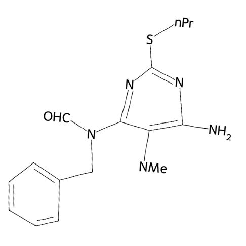 CCCSc1nc(N)c(NC)c(N(C=O)Cc2ccccc2)n1